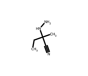 CCC(C)(C#N)NN